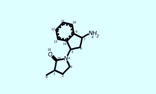 CC1CCN(C2CC(N)c3ccccc32)C1=O